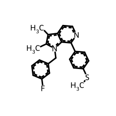 CSc1ccc(-c2nccc3c(C)c(C)n(Cc4cccc(F)c4)c23)cc1